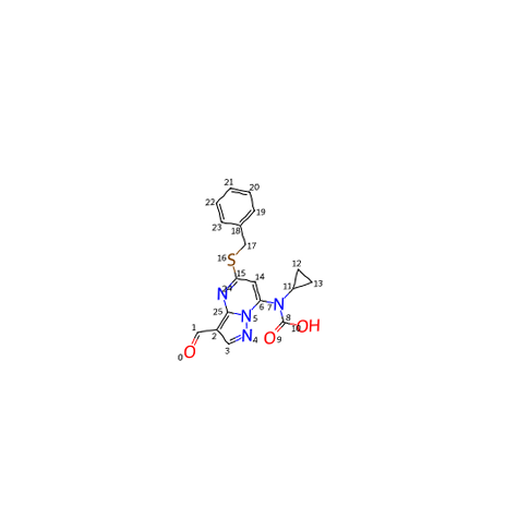 O=Cc1cnn2c(N(C(=O)O)C3CC3)cc(SCc3ccccc3)nc12